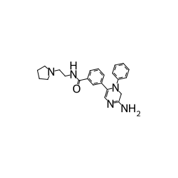 NC1=NC=C(c2cccc(C(=O)NCCN3CCCC3)c2)N(c2ccccc2)C1